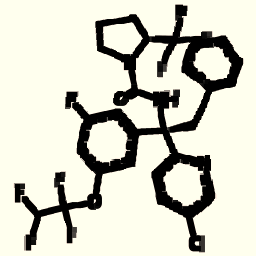 O=C(N[C@@](Cc1ccccc1)(c1cc(F)cc(OC(F)(F)C(F)F)c1)c1ccc(Cl)cn1)N1CCC[C@H]1C(F)(F)F